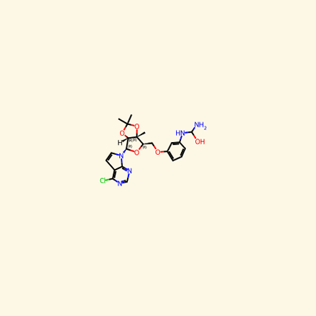 CC1(C)O[C@H]2[C@H](n3ccc4c(Cl)ncnc43)O[C@H](COc3cccc(NC(N)O)c3)[C@@]2(C)O1